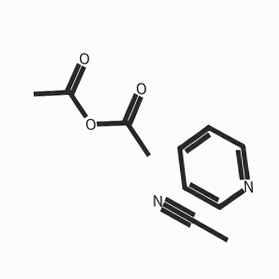 CC#N.CC(=O)OC(C)=O.c1ccncc1